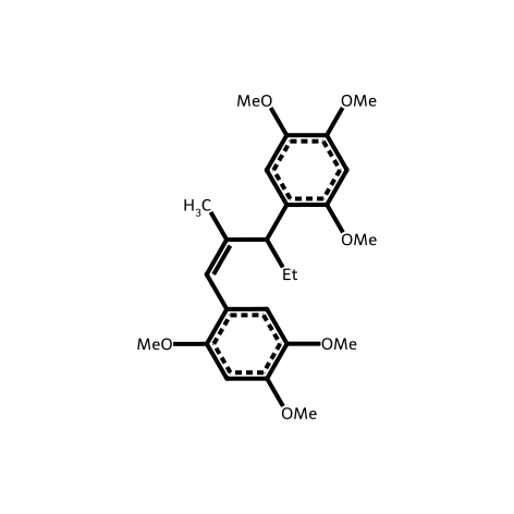 CCC(C(C)=Cc1cc(OC)c(OC)cc1OC)c1cc(OC)c(OC)cc1OC